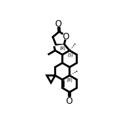 CC(C)C1C2CC3(CC3)C3=CC(=O)CC[C@]3(C)C2CC[C@]1(C)[C@H]1CCC(=O)O1